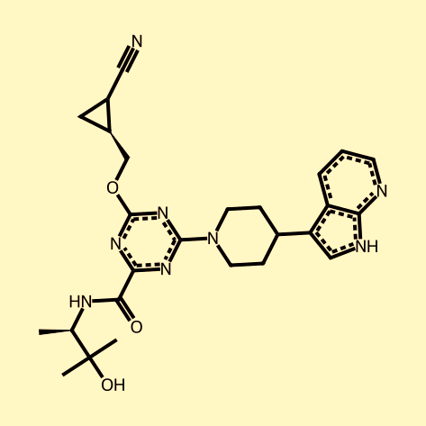 C[C@@H](NC(=O)c1nc(OC[C@H]2CC2C#N)nc(N2CCC(c3c[nH]c4ncccc34)CC2)n1)C(C)(C)O